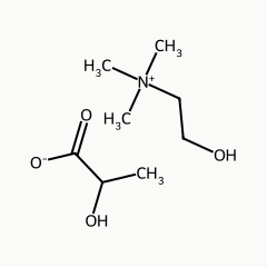 CC(O)C(=O)[O-].C[N+](C)(C)CCO